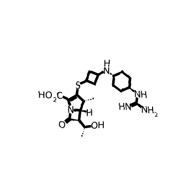 C[C@@H](O)[C@H]1C(=O)N2C(C(=O)O)=C(SC3CC(N[C@H]4CC[C@H](NC(=N)N)CC4)C3)[C@H](C)[C@H]12